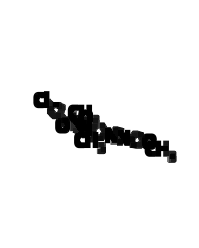 COc1ccc(N2CCN(c3ccc(-n4c(C)cn(C(C)C(=O)c5ccc(Cl)cc5)c4=O)cc3)CC2)cc1